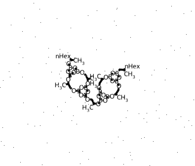 CCCCCCC(C)CB1OB2OCC(C)OB3OB(OCC(C)OB(O1)O2)OB(OC(C)COB1OB2OCC(C)OB4OB(OCC(C)OB(O2)O1)OB(OC(C)CCCCCC)O4)O3